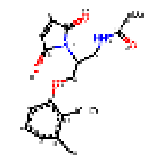 CCCCC(=O)NCC(COc1cccc(C)c1C=O)N1C(=O)C=CC1=O